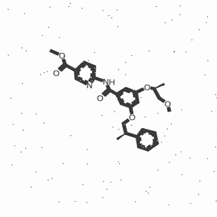 COC[C@H](C)Oc1cc(OC[C@H](C)c2ccccc2)cc(C(=O)Nc2ccc(C(=O)OC)cn2)c1